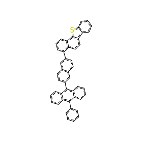 c1ccc(-c2c3ccccc3c(-c3ccc4cc(-c5cccc6c5ccc5c7ccccc7sc65)ccc4c3)c3ccccc23)cc1